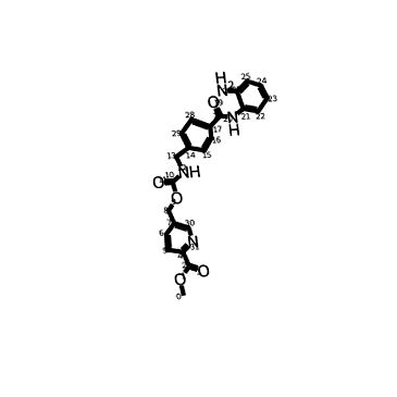 COC(=O)c1ccc(COC(=O)NCc2ccc(C(=O)Nc3ccccc3N)cc2)cn1